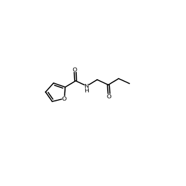 CCC(=O)CNC(=O)c1ccco1